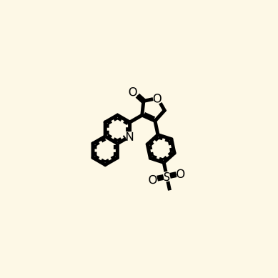 CS(=O)(=O)c1ccc(C2=C(c3ccc4ccccc4n3)C(=O)OC2)cc1